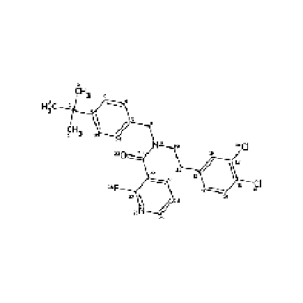 CC(C)(C)c1ccc(CN(CCc2ccc(Cl)c(Cl)c2)C(=O)c2cccnc2F)cc1